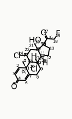 C[C@]12C=CC(=O)C=C1CC[C@H]1[C@@H]3CC[C@](O)(C(=O)CF)[C@@]3(C)C[C@H](Cl)[C@@]12Cl